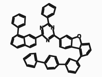 c1ccc(-c2ccc(-c3cccc(-c4cccc5oc6cc(-c7nc(-c8ccccc8)nc(-c8ccc9cccc(-c%10ccccc%10)c9c8)n7)ccc6c45)c3)cc2)cc1